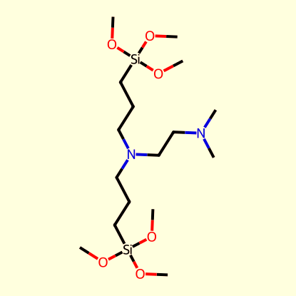 CO[Si](CCCN(CCC[Si](OC)(OC)OC)CCN(C)C)(OC)OC